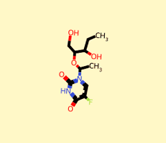 CCC(O)C(CO)OC(C)n1cc(F)c(=O)[nH]c1=O